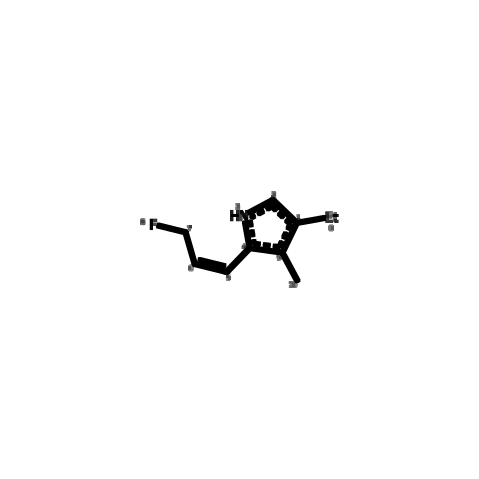 CCc1c[nH]c(/C=C\CF)c1C